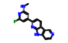 CNc1cc(-c2ccc3c(n2)[nH]c2ccncc23)cc(F)n1